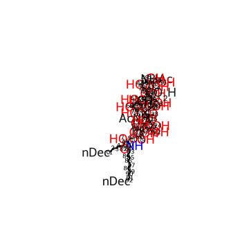 CCCCCCCCCCCCC/C=C/[C@@H](O)[C@H](CO[C@@H]1OC(CO)[C@@H](O[C@@H]2OC(CO)[C@H](O)[C@H](O[C@@H]3OC(CO)[C@@H](O[C@@H]4OC(CO)[C@H](O)[C@H](O[C@]5(C(=O)O)CC(O)[C@@H](NC(C)=O)C([C@H](O)[C@H](O)CO)O5)C4O)[C@H](O[C@H]4OC(C)[C@@H](O)C(O)[C@@H]4O)C3NC(C)=O)C2O)[C@H](O)C1O)NC(=O)CCCCCCCCCCCCCCCCCCC